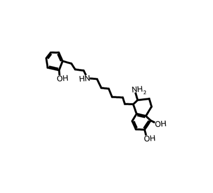 NC1CCc2c(ccc(O)c2O)C1CCCCCCNCCCc1ccccc1O